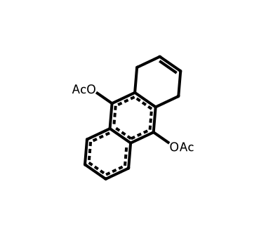 CC(=O)Oc1c2c(c(OC(C)=O)c3ccccc13)CC=CC2